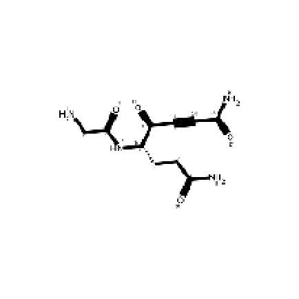 NCC(=O)N[C@@H](CCC(N)=O)C(=O)C#CC(N)=O